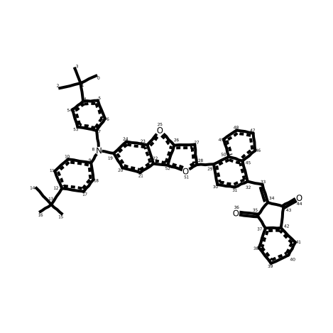 CC(C)(C)c1ccc(N(c2ccc(C(C)(C)C)cc2)c2ccc3c(c2)oc2cc(-c4ccc(C=C5C(=O)c6ccccc6C5=O)c5ccccc45)oc23)cc1